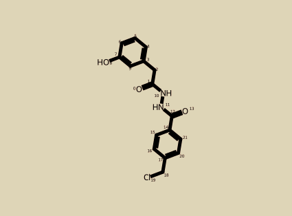 O=C(Cc1cccc(O)c1)NNC(=O)c1ccc(CCl)cc1